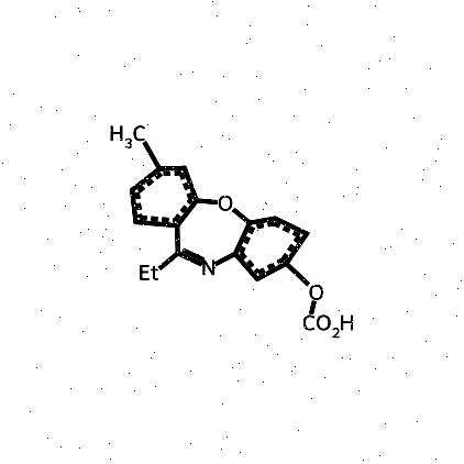 CCC1=Nc2cc(OC(=O)O)ccc2Oc2cc(C)ccc21